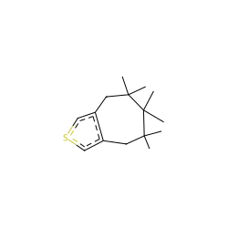 CC1(C)Cc2cscc2CC(C)(C)C1(C)C